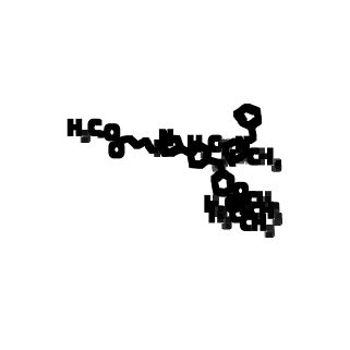 CCOC(=O)CCCCn1cc(-c2ccc([C@H](c3cccc(O[Si](C)(C)C(C)(C)C)c3)N3C[C@@H](C)N(Cc4ccccc4)C[C@@H]3C)cc2)cn1